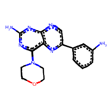 Nc1cccc(-c2cnc3nc(N)nc(N4CCOCC4)c3n2)c1